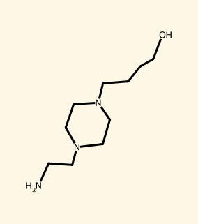 NCCN1CCN(CCCCO)CC1